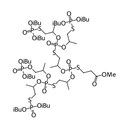 COC(=O)CCSP(=O)(OC(C)CSP(=O)(OC(C)COP(=O)(OCC(C)C)OCC(C)C)OC(C)CSP(=O)(OCC(C)C)OCC(C)C)OC(C)CSP(=O)(OC(C)CSP(=O)(OCC(C)C)OCC(C)C)OC(C)CSP(=O)(OCC(C)C)OCC(C)C